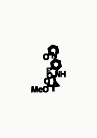 COC(=O)C1(C)CC1C(=O)Nc1ccc(-n2ccccc2=O)cc1F